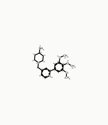 COc1cc(-c2cc(CN3CCC(N)CC3)ccn2)cc(OC)c1OC